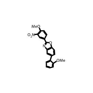 COc1ccccc1-c1ccc2oc(-c3ccc(OC)c([N+](=O)[O-])c3)nc2c1